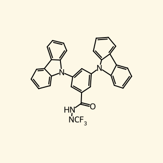 O=C(NNC(F)(F)F)c1cc(-n2c3ccccc3c3ccccc32)cc(-n2c3ccccc3c3ccccc32)c1